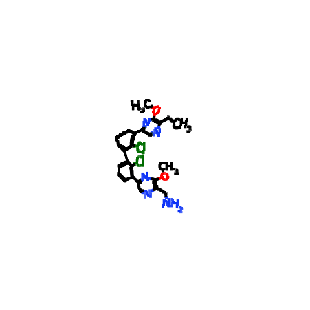 CCc1ncc(-c2cccc(-c3cccc(-c4cnc(CN)c(OC)n4)c3Cl)c2Cl)nc1OC